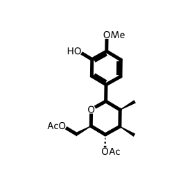 COc1ccc(C2O[C@H](COC(C)=O)[C@@H](OC(C)=O)[C@H](C)[C@@H]2C)cc1O